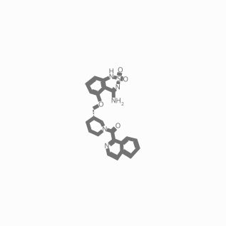 NC1=NS(=O)(=O)Nc2cccc(OC[C@H]3CCCN(C(=O)c4nccc5ccccc45)C3)c21